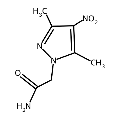 Cc1nn(CC(N)=O)c(C)c1[N+](=O)[O-]